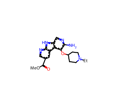 CCN1CCC(Oc2c(N)ncc3[nH]c4ncc(C(=O)OC)cc4c23)CC1